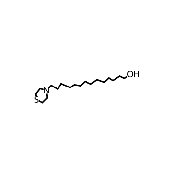 OCCCCCCCCCCCCCCN1CCSCC1